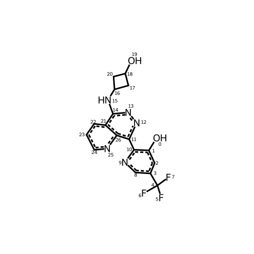 Oc1cc(C(F)(F)F)cnc1-c1nnc(NC2CC(O)C2)c2cccnc12